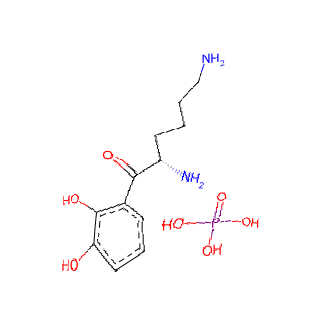 NCCCC[C@H](N)C(=O)c1cccc(O)c1O.O=P(O)(O)O